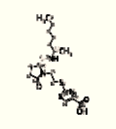 CCCCCC(C)NC[C@H]1CCC(=O)N1CCSc1nc(C(=O)O)cs1